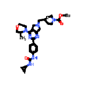 CC1COCCN1c1nc(-c2ccc(NC(=O)NC3CC3)cc2)nc2c1CN(CC1CCN(C(=O)OC(C)(C)C)CC1)C2